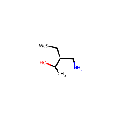 CSC[C@@H](CN)C(C)O